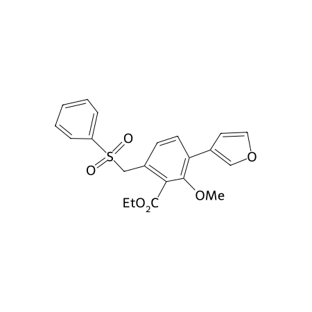 CCOC(=O)c1c(CS(=O)(=O)c2ccccc2)ccc(-c2ccoc2)c1OC